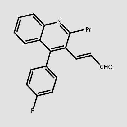 CC(C)c1nc2ccccc2c(-c2ccc(F)cc2)c1/C=C/C=O